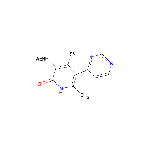 CCc1c(-c2ccncn2)c(C)[nH]c(=O)c1NC(C)=O